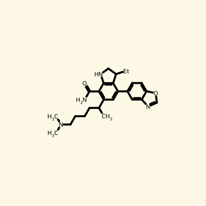 CCC1CNc2c(C(N)=O)c(C(C)CCCCN(C)C)cc(-c3ccc4ocnc4c3)c21